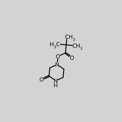 CC(C)(C)C(=O)ON1CCNC(=O)C1